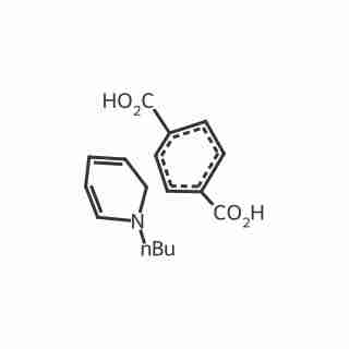 CCCCN1C=CC=CC1.O=C(O)c1ccc(C(=O)O)cc1